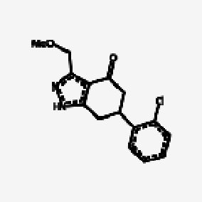 COCc1n[nH]c2c1C(=O)CC(c1ccccc1Cl)C2